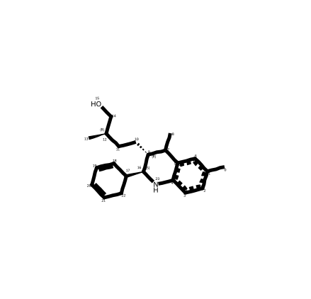 Cc1ccc2c(c1)C(C)[C@@H](CC[C@@H](C)CO)[C@H](C1C=CC=CC1)N2